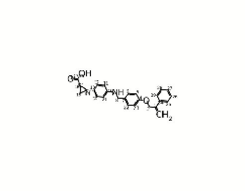 C=C(COc1ccc(CNc2ccc([C@@H]3C[C@H]3C(=O)O)cc2)cc1)c1ccccc1